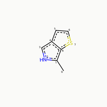 Cc1[nH]cc2ccsc12